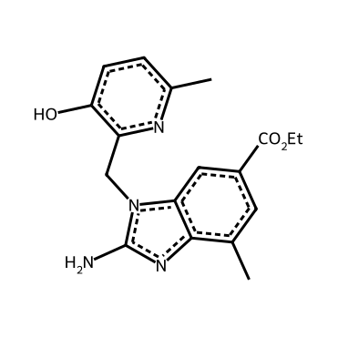 CCOC(=O)c1cc(C)c2nc(N)n(Cc3nc(C)ccc3O)c2c1